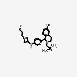 CC(C)(F)CN1CCc2cc(O)ccc2C1c1ccc(NC2CN(CCCF)C2)cn1